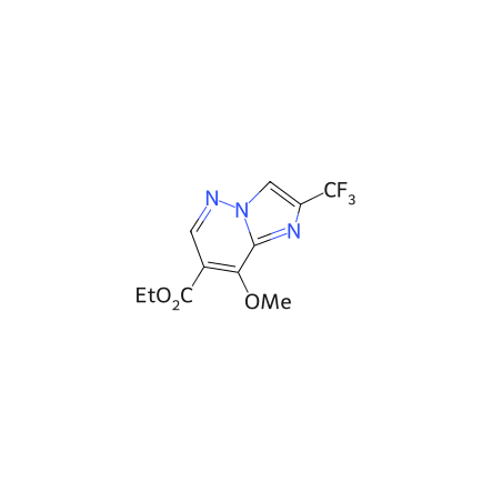 CCOC(=O)c1cnn2cc(C(F)(F)F)nc2c1OC